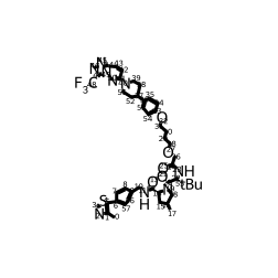 Cc1ncsc1-c1ccc(CNC(=O)[C@@H]2CC(C)CN2C(=O)[C@@H](NC(=O)COCCCCOc2ccc(C3CCN(c4ccc5nnc(C(F)(F)F)n5n4)CC3)cc2)C(C)(C)C)cc1